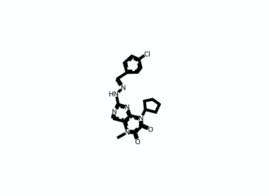 Cn1c(=O)c(=O)n(C2CCCC2)c2nc(NN=Cc3ccc(Cl)cc3)ncc21